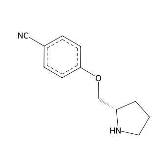 N#Cc1ccc(OC[C@@H]2CCCN2)cc1